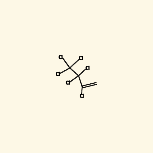 C=C(Cl)C(Cl)(Cl)C(Cl)(Cl)Cl